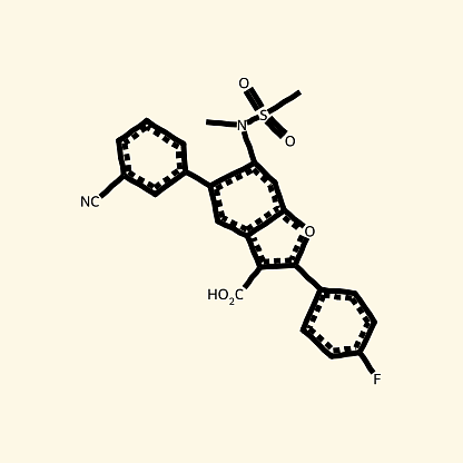 CN(c1cc2oc(-c3ccc(F)cc3)c(C(=O)O)c2cc1-c1cccc(C#N)c1)S(C)(=O)=O